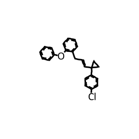 Clc1ccc(C2(C=CCc3ccccc3Oc3ccccc3)CC2)cc1